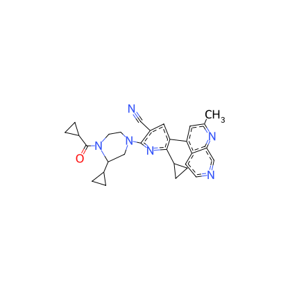 Cc1cc(-c2cc(C#N)c(N3CCN(C(=O)C4CC4)C(C4CC4)C3)nc2C2CC2)c2ccncc2n1